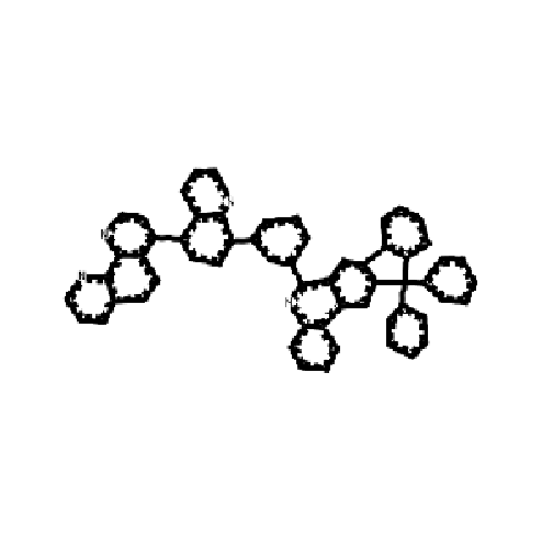 c1ccc(C2(c3ccccc3)c3ccccc3-c3cc4c(-c5cccc(-c6ccc(-c7ccnc8c7ccc7cccnc78)c7cccnc67)c5)nc5ccccc5c4cc32)cc1